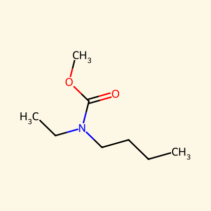 CCCCN(CC)C(=O)OC